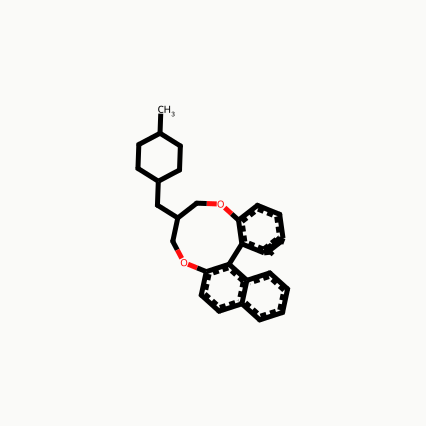 CC1CCC(CC2COc3ccc4ccccc4c3-c3c(ccc4ccccc34)OC2)CC1